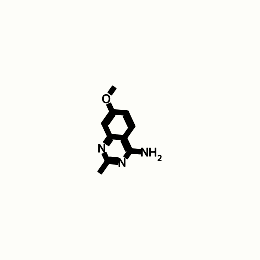 COc1ccc2c(N)nc(C)nc2c1